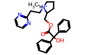 C[N@+]1(CCc2ncccn2)CCCC1COC(=O)C(O)(c1ccccc1)c1ccccc1